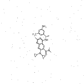 Cc1nc(N[C@H](C)c2cc(N)cc(C(F)(F)F)c2)c2cc(C(=O)N(C)C)c(N(C3CC3)C3CC3)nc2n1